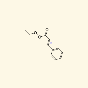 CCOOC(=O)/C=C/c1ccccc1